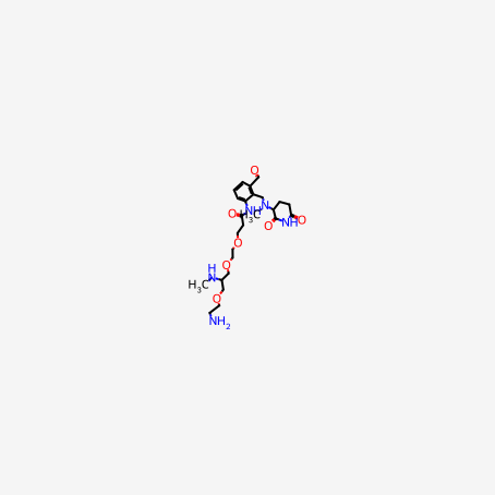 CNC(COCCN)COCCOCCC(=O)Nc1cccc(C=O)c1CN(C)C1CCC(=O)NC1=O